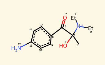 CCN(CC)C(C)(O)C(=O)c1ccc(N)cc1